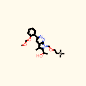 COCOc1ccccc1-c1cc2c(C)c(C(C)O)n(COCC[Si](C)(C)C)c2nn1